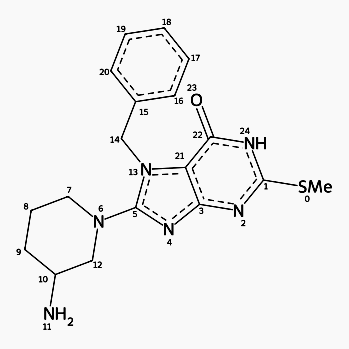 CSc1nc2nc(N3CCCC(N)C3)n(Cc3ccccc3)c2c(=O)[nH]1